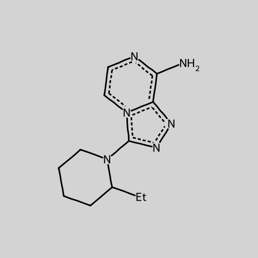 CCC1CCCCN1c1nnc2c(N)nccn12